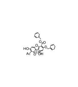 CC(=O)C1=C(O)C=C2Oc3c(C(=O)OCc4ccccc4)c(OCc4ccccc4)cc(O)c3C2(C)C1=O